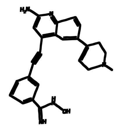 CN1CC=C(c2ccc3nc(N)cc(C#Cc4cccc(C(=N)NO)c4)c3c2)CC1